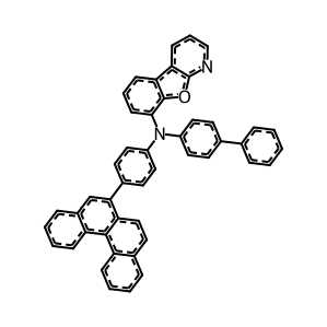 c1ccc(-c2ccc(N(c3ccc(-c4cc5ccccc5c5c4ccc4ccccc45)cc3)c3cccc4c3oc3ncccc34)cc2)cc1